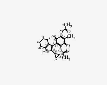 CC(=O)OC1=C(C)C(=O)C(OC(C)=O)=C(c2c(C3CC3)[nH]c3c2CCCC3)C1=O